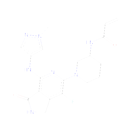 C=CC(=O)NC1CCCN(c2nc(Nc3cnn(C)c3)c3c(c2F)CNC3=O)C1